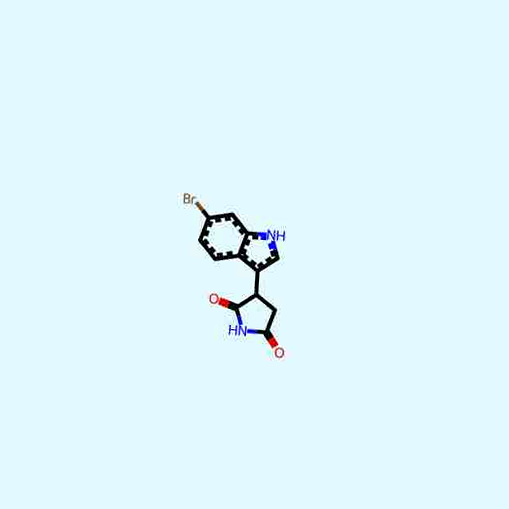 O=C1CC(c2c[nH]c3cc(Br)ccc23)C(=O)N1